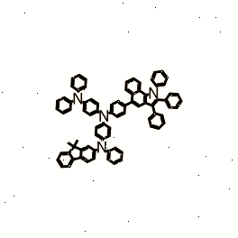 CC1(C)c2ccccc2-c2ccc(N(c3ccccc3)c3ccc(N(c4ccc(-c5cc6c(-c7ccccc7)c(-c7ccccc7)n(-c7ccccc7)c6c6ccccc56)cc4)c4ccc(N(c5ccccc5)c5ccccc5)cc4)cc3)cc21